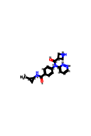 CC1CC1NC(=O)c1ccc(N(C(=O)C2CNC2)c2cccnn2)cc1